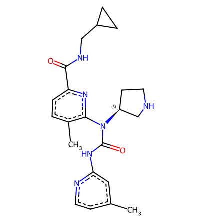 Cc1ccnc(NC(=O)N(c2nc(C(=O)NCC3CC3)ccc2C)[C@H]2CCNC2)c1